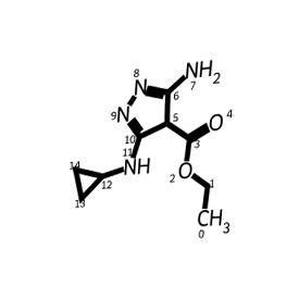 CCOC(=O)C1C(N)=NN=C1NC1CC1